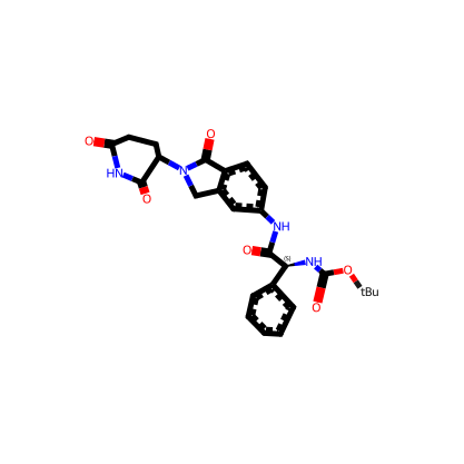 CC(C)(C)OC(=O)N[C@H](C(=O)Nc1ccc2c(c1)CN(C1CCC(=O)NC1=O)C2=O)c1ccccc1